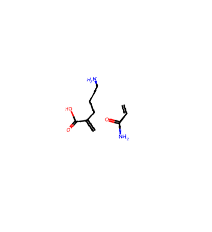 C=C(CCCN)C(=O)O.C=CC(N)=O